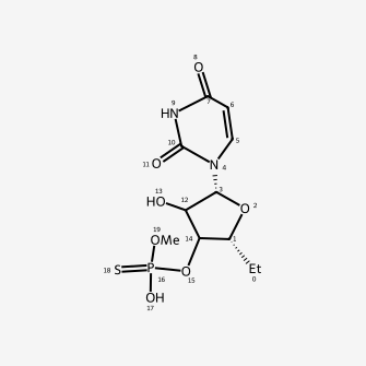 CC[C@H]1O[C@@H](n2ccc(=O)[nH]c2=O)C(O)C1OP(O)(=S)OC